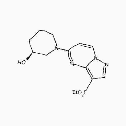 CCOC(=O)c1cnn2ccc(N3CCC[C@H](O)C3)nc12